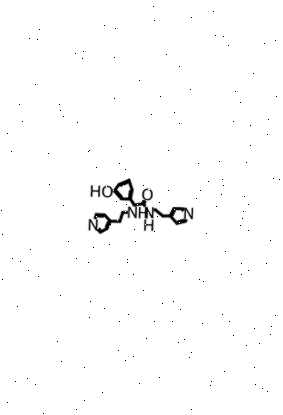 O=C(NCCc1ccncc1)C(NCCc1ccncc1)c1cccc(O)c1